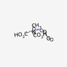 Cc1cc(/C=C/c2ccc(OCCCCOc3ccccc3)cc2)c2c(c1)c(CCCC(=O)O)cn2CC(=O)O